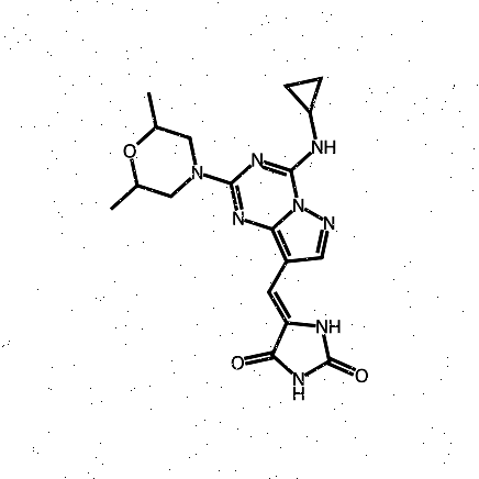 CC1CN(c2nc(NC3CC3)n3ncc(/C=C4\NC(=O)NC4=O)c3n2)CC(C)O1